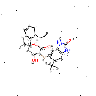 CCc1ccccc1[C@@]1(C(C)C)CC(O)=C(Sc2cc3[nH]c(=O)[nH]c3cc2C(C)(C)C)C(=O)O1